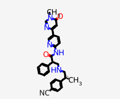 C[C@H](CNCC(C(=O)Nc1ccc(-c2cc(=O)n(C)cn2)cn1)c1ccccc1)c1ccc(C#N)cc1